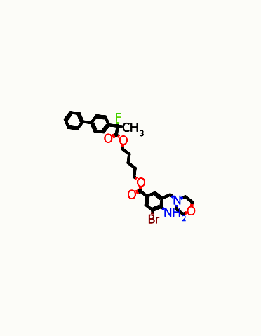 CC(F)(C(=O)OCCCCCOC(=O)c1cc(Br)c(N)c(CN2CCOCC2)c1)c1ccc(-c2ccccc2)cc1